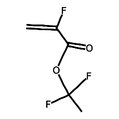 C=C(F)C(=O)OC(C)(F)F